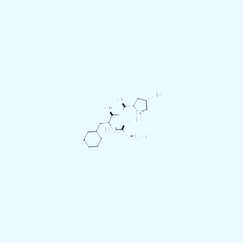 CC(C)(C)OC(=O)N[C@@H](CC1CCCCC1)C(=O)OC(=O)[C@H]1C[C@@H](O)CN1